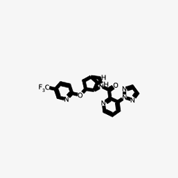 C[C@H]1C2CC(Oc3ccc(C(F)(F)F)cn3)C1N(C(=O)c1ncccc1-n1nccn1)C2